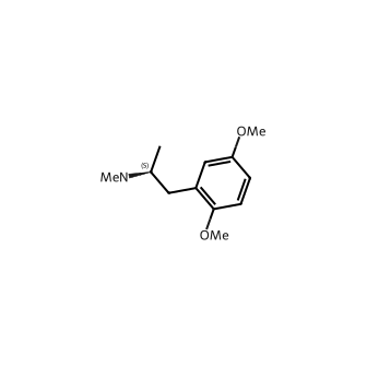 CN[C@@H](C)Cc1cc(OC)ccc1OC